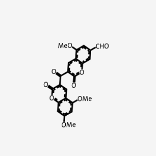 COc1cc(OC)c2cc(C(=O)c3cc4c(OC)cc(C=O)cc4oc3=O)c(=O)oc2c1